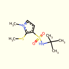 CSc1c(S(=O)(=O)NC(C)(C)C)ccn1C